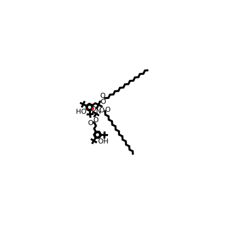 CCCCCCCCCCCCCCCCCC(=O)OCC(COC(=O)CCCCCCCCCCCCCCCCC)(Cc1cc(C(C)(C)C)c(O)c(C(C)(C)C)c1)C1=NC(C)(COC(=O)CCc2cc(C(C)(C)C)c(O)c(C(C)(C)C)c2)CO1